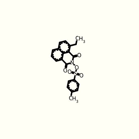 CCc1ccc2cccc3c2c1C(=O)N(OS(=O)(=O)c1ccc(C)cc1)C3=O